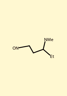 CCC(CCN=O)NC